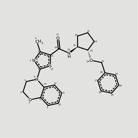 Cc1nc(N2CCOc3ccccc32)sc1C(=O)N[C@H]1CCC[C@@H]1OCc1ccccc1